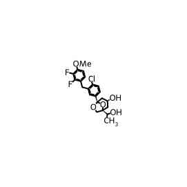 COc1ccc(Cc2cc([C@]34C[C@@H](O)C[C@](C(C)O)(CO3)O4)ccc2Cl)c(F)c1F